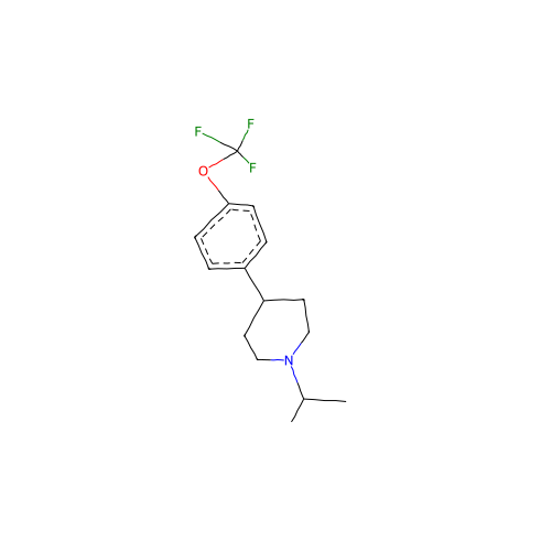 CC(C)N1CCC(c2ccc(OC(F)(F)F)cc2)CC1